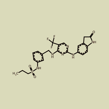 CCCS(=O)(=O)Nc1cccc(CNc2nc(Nc3ccc4c(c3)CC(=O)N4)ncc2C(F)(F)F)c1